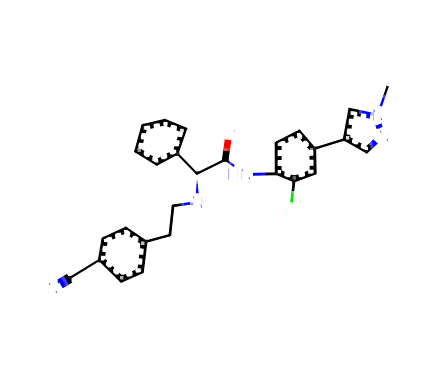 Cn1cc(-c2ccc(NC(=O)[C@@H](NCCc3ccc(C#N)cc3)c3ccccc3)c(Cl)c2)cn1